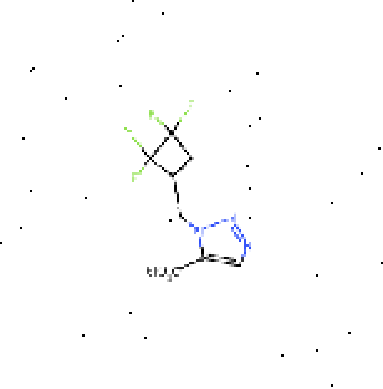 CCOC(=O)c1cnnn1CC1CC(F)(F)C1(F)F